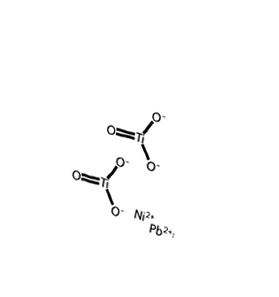 [Ni+2].[O]=[Ti]([O-])[O-].[O]=[Ti]([O-])[O-].[Pb+2]